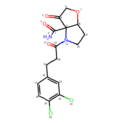 NC(=O)C12C(=O)COC1CCN2C(=O)[CH]Cc1ccc(Cl)c(Cl)c1